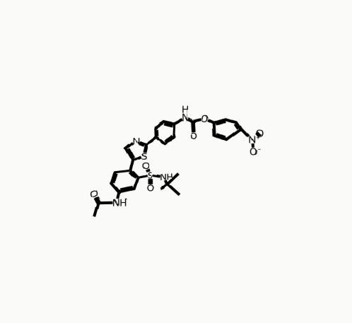 CC(=O)Nc1ccc(-c2cnc(-c3ccc(NC(=O)Oc4ccc([N+](=O)[O-])cc4)cc3)s2)c(S(=O)(=O)NC(C)(C)C)c1